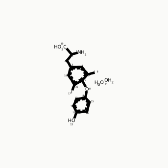 NC(Cc1cc(I)c(Oc2ccc(O)cc2)c(I)c1)C(=O)O.O.O